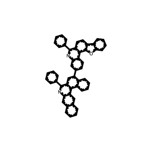 c1ccc(-c2nc3cc4ccccc4cc3c3c2cc(-c2ccc4c(c2)nc(-c2ccccc2)c2ccc5c6ccccc6oc5c24)c2ccccc23)cc1